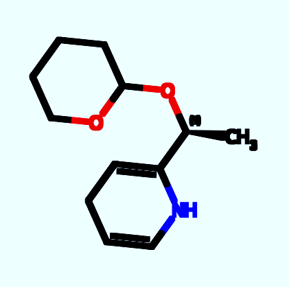 C[C@H](OC1CCCCO1)C1=CCC=CN1